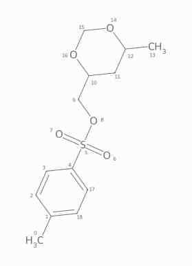 Cc1ccc(S(=O)(=O)OCC2CC(C)OCO2)cc1